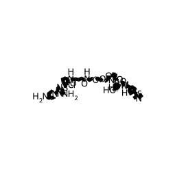 Cc1ncsc1-c1ccc([C@H](C)NC(=O)[C@@H]2C[C@@H](O)CN2C(=O)[C@@H](NC(=O)COCCOCCNC(=O)CCCC(=O)Nc2cccc(Sc3ncc(N4CCC(C)(N)CC4)nc3N)c2Cl)C(C)(C)C)cc1